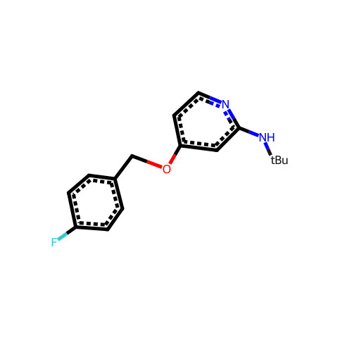 CC(C)(C)Nc1cc(OCc2ccc(F)cc2)ccn1